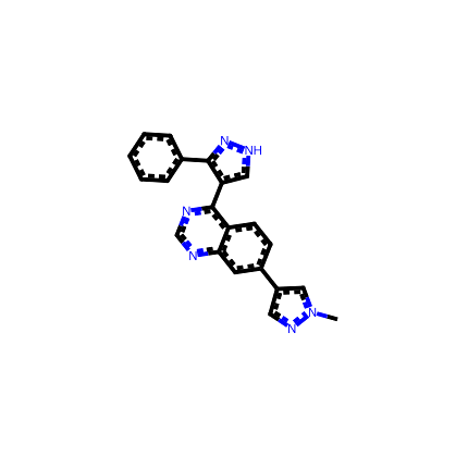 Cn1cc(-c2ccc3c(-c4c[nH]nc4-c4ccccc4)ncnc3c2)cn1